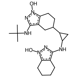 CC(C)(C)Nc1nn(O)c2c1CC(C1CC1Nc1nn(O)c3c1CCCC3)CC2